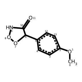 COc1ccc(C2OONC2=O)cc1